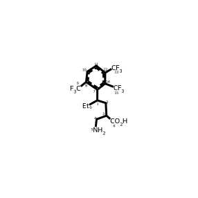 CCC(CC(CN)C(=O)O)c1c(C(F)(F)F)ccc(C(F)(F)F)c1C(F)(F)F